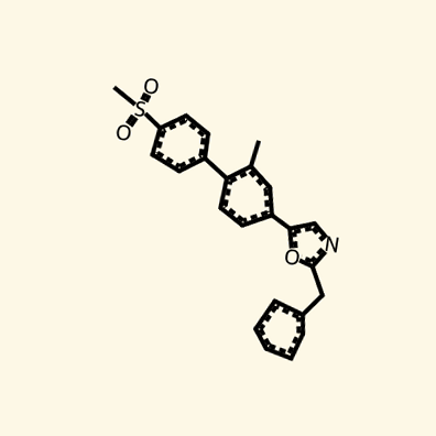 Cc1cc(-c2cnc(Cc3ccccc3)o2)ccc1-c1ccc(S(C)(=O)=O)cc1